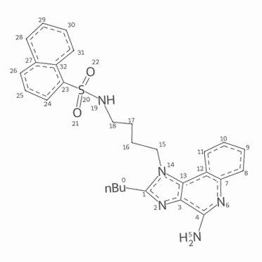 CCCCc1nc2c(N)nc3ccccc3c2n1CCCCNS(=O)(=O)c1cccc2ccccc12